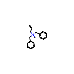 C=CC[N+](C)(Cc1ccccc1)Cc1ccccc1